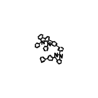 c1ccc(-c2ccc(-c3nc(-c4cccc(-c5ccc6c7ccc8c9ccccc9c(-c9ccccc9)nc8c7n(-c7ccccc7)c6c5)c4)nc4ccccc34)cc2)cc1